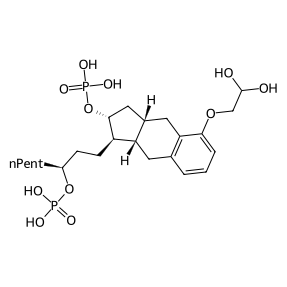 CCCCC[C@@H](CC[C@@H]1[C@H]2Cc3cccc(OCC(O)O)c3C[C@H]2C[C@H]1OP(=O)(O)O)OP(=O)(O)O